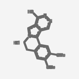 COc1cc2c(cc1OC)-c1c3cnnc(O)c3cn1CC2.Cl